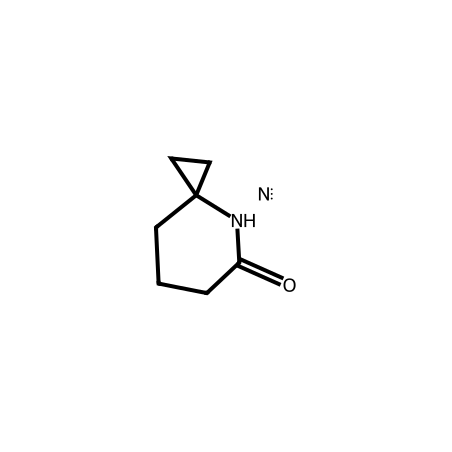 O=C1CCCC2(CC2)N1.[N]